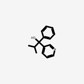 CC(C)C(O)(c1ccccc1)c1cccnc1